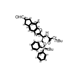 CC(C)(C)OC(=O)N[C@@H](CO[Si](c1ccccc1)(c1ccccc1)C(C)(C)C)c1nc2cc3c(c(F)c2o1)CC(C=O)C3